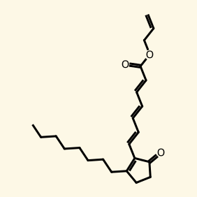 C=CCOC(=O)C=CC=CC=CC1=C(CCCCCCCC)CCC1=O